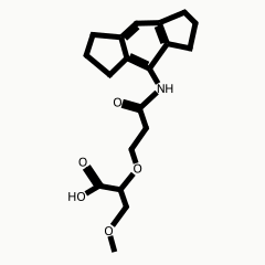 COCC(OCCC(=O)Nc1c2c(cc3c1CCC3)CCC2)C(=O)O